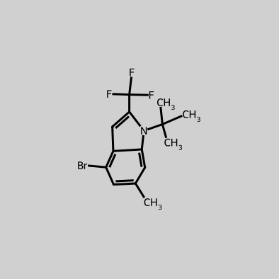 Cc1cc(Br)c2cc(C(F)(F)F)n(C(C)(C)C)c2c1